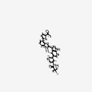 CC(=O)c1ccc(-c2cccc3[nH]c(-c4n[nH]c5ncc(-c6cncc(NC(=O)C(C)(C)C)c6)cc45)cc23)s1